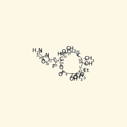 CC[C@@H]1C(=O)C(C)(C)[C@@H](O)CC(=O)O[C@H](C(F)=Cc2coc(CN)n2)C[C@@H]2O[C@]2(C)CCC[C@H](C)C1O